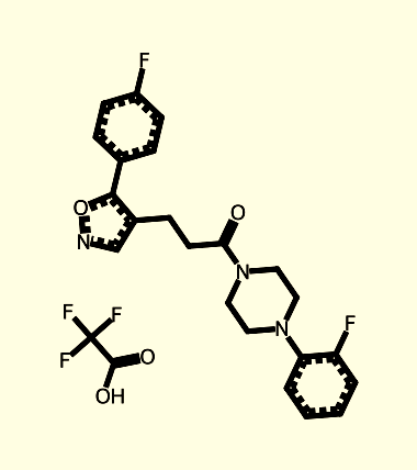 O=C(CCc1cnoc1-c1ccc(F)cc1)N1CCN(c2ccccc2F)CC1.O=C(O)C(F)(F)F